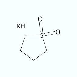 O=S1(=O)CCCC1.[KH]